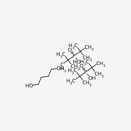 CC(C)(C)P(=O)(O)C(C)(C)C.CC(C)(C)P(=O)(O)C(C)(C)C.OCCCCO